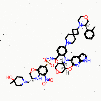 Cc1ccccc1[C@@H]1COCCN1C1CC2(CCN(c3ccc(C(=O)NS(=O)(=O)c4cc5c(c([N+](=O)[O-])c4)N[C@H](CN4CCC(C)(O)CC4)CO5)c(N4c5cc6cc[nH]c6nc5O[C@H]5COCC[C@@H]54)c3)CC2)C1